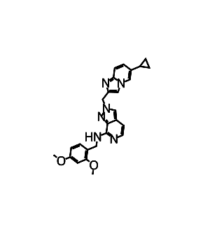 COc1ccc(CNc2nccc3cn(Cc4cn5cc(C6CC6)ccc5n4)nc23)c(OC)c1